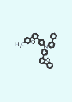 CC1C=Cc2c(oc3c(-c4ccc(N(c5ccc(-c6cccc7c6oc6ccccc67)cc5)c5cccc(-c6ccccc6)c5)cc4)cccc23)C1